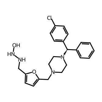 ONNCc1ccc(CN2CCN([C@H](c3ccccc3)c3ccc(Cl)cc3)CC2)o1